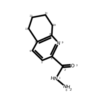 NNC(=O)c1ccc2c(n1)CCCC2